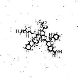 N=C(N)NCCC[C@H](NC(=O)[C@H](CCC(=O)OC(=O)C(F)(F)F)NC(=O)C(Cc1ccc(C(=N)N)cc1)C(=O)Nc1ccccc1)C(=O)N[C@@H](CC1CCCCC1)C(N)=O